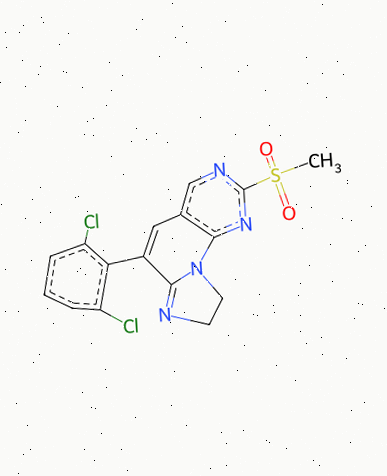 CS(=O)(=O)c1ncc2c(n1)N1CCN=C1C(c1c(Cl)cccc1Cl)=C2